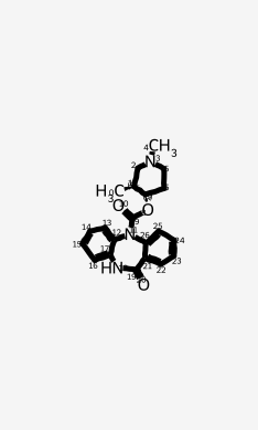 C[C@H]1CN(C)CC[C@@H]1OC(=O)N1c2ccccc2NC(=O)c2ccccc21